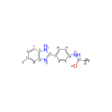 Cc1ccc2[nH]c(-c3ccc(NC(=O)C(C)C)cc3)nc2c1